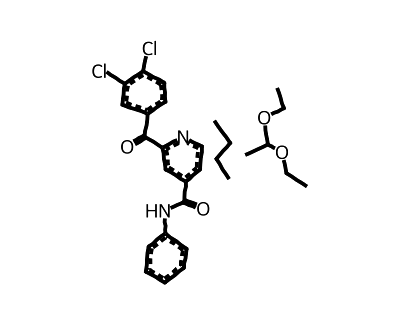 CCCC.CCOC(C)OCC.O=C(Nc1ccccc1)c1ccnc(C(=O)c2ccc(Cl)c(Cl)c2)c1